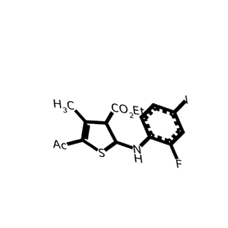 CCOC(=O)C1C(C)=C(C(C)=O)SC1Nc1ccc(I)cc1F